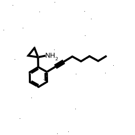 CCCCCC#Cc1ccccc1C1(N)CC1